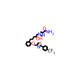 NC(=O)c1cn(C[C@@H](O)CCCc2ccccc2OCc2csc(-c3ccc(C(F)(F)F)cc3)n2)cn1